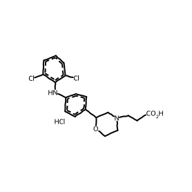 Cl.O=C(O)CCN1CCOC(c2ccc(Nc3c(Cl)cccc3Cl)cc2)C1